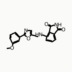 COc1cccc(-c2ncc(CNc3cccc4c3C(=O)NC4=O)o2)c1